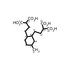 CC1CCC(CCC(C(=O)O)C(=O)O)C(CCC(C(=O)O)C(=O)O)C1